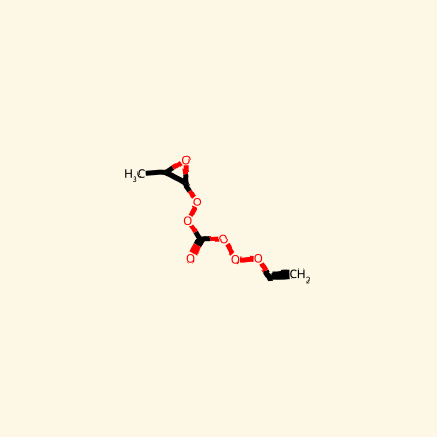 C=COOOC(=O)OOC1OC1C